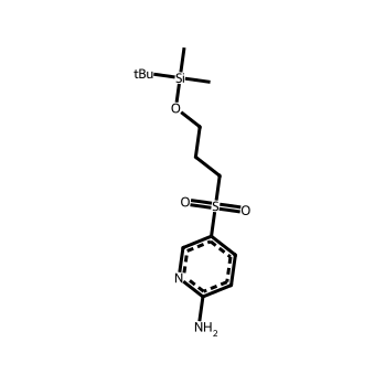 CC(C)(C)[Si](C)(C)OCCCS(=O)(=O)c1ccc(N)nc1